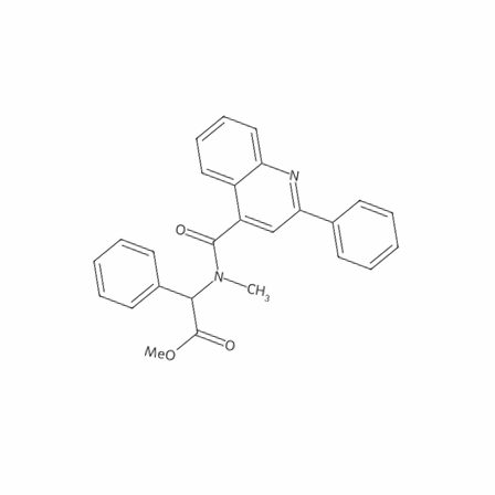 COC(=O)C(c1ccccc1)N(C)C(=O)c1cc(-c2ccccc2)nc2ccccc12